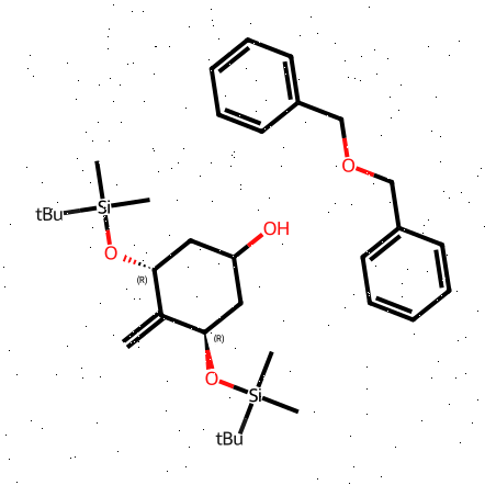 C=C1[C@H](O[Si](C)(C)C(C)(C)C)CC(O)C[C@H]1O[Si](C)(C)C(C)(C)C.c1ccc(COCc2ccccc2)cc1